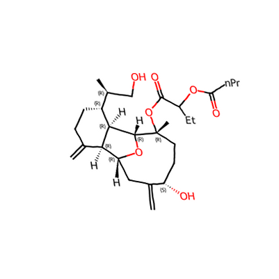 C=C1CC[C@H]([C@@H](C)CO)[C@@H]2[C@H]1[C@H]1CC(=C)[C@@H](O)CC[C@@](C)(OC(=O)C(CC)OC(=O)CCC)[C@@H]2O1